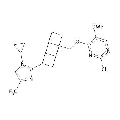 COc1cnc(Cl)nc1OCC12C3C4C1C1C2C3C41c1nc(C(F)(F)F)cn1C1CC1